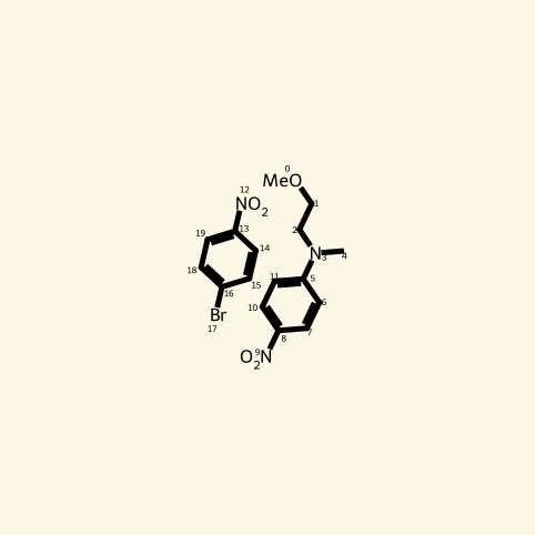 COCCN(C)c1ccc([N+](=O)[O-])cc1.O=[N+]([O-])c1ccc(Br)cc1